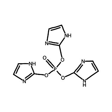 O=P(Oc1ncc[nH]1)(Oc1ncc[nH]1)Oc1ncc[nH]1